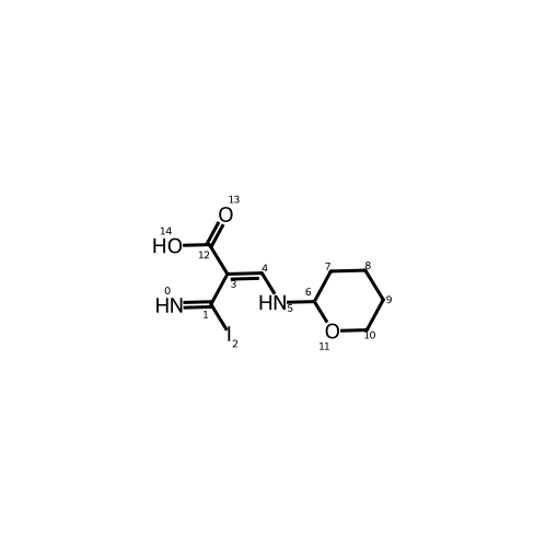 N=C(I)/C(=C\NC1CCCCO1)C(=O)O